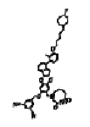 Cc1c(OCCCCCC2CCCC(F)CC2)cccc1-c1cccc2c1CC[C@@H]2Oc1cc(OCc2cc(C#N)cc(C#N)c2)c(CN2CCCCC(=O)NC(=O)C2)cc1Cl